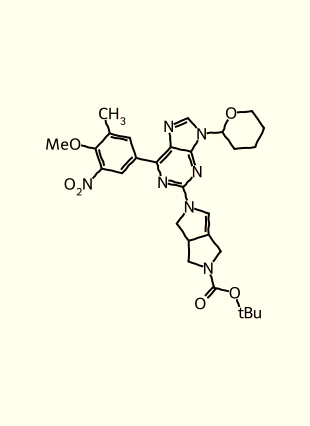 COc1c(C)cc(-c2nc(N3C=C4CN(C(=O)OC(C)(C)C)CC4C3)nc3c2ncn3C2CCCCO2)cc1[N+](=O)[O-]